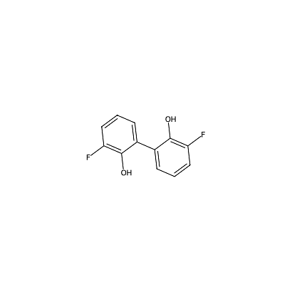 Oc1c(F)cccc1-c1cccc(F)c1O